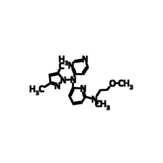 COCCN(C)c1cccc(N(c2ccncn2)n2nc(C)cc2C)n1